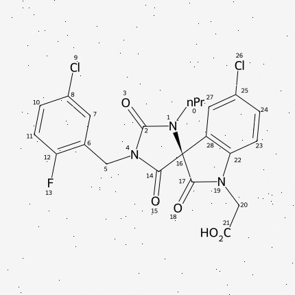 CCCN1C(=O)N(Cc2cc(Cl)ccc2F)C(=O)[C@]12C(=O)N(CC(=O)O)c1ccc(Cl)cc12